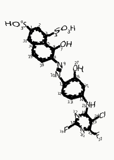 O=S(=O)(O)c1cc(S(=O)(=O)O)c2c(O)c(/N=N/c3ccc(Nc4nc(F)nc(F)c4Cl)cc3O)ccc2c1